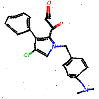 CN(C)c1ccc(Cn2cc(Cl)c(-c3ccccc3)c2C(=O)C=O)cc1